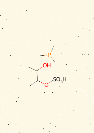 CC(O)C(C)OS(=O)(=O)O.CP(C)C